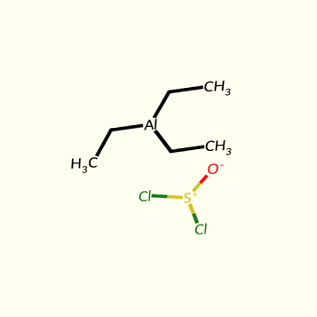 C[CH2][Al]([CH2]C)[CH2]C.[O-][S+](Cl)Cl